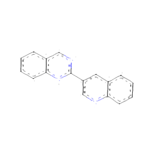 c1ccc2ncc(-c3ncc4ccccc4n3)cc2c1